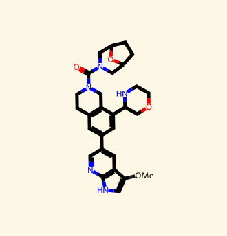 COc1c[nH]c2ncc(-c3cc4c(c(C5COCCN5)c3)CN(C(=O)N3CC5CCC(C3)O5)CC4)cc12